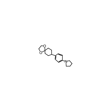 c1cc(N2CCCC2)ccc1C1CCC2(CC1)OCCO2